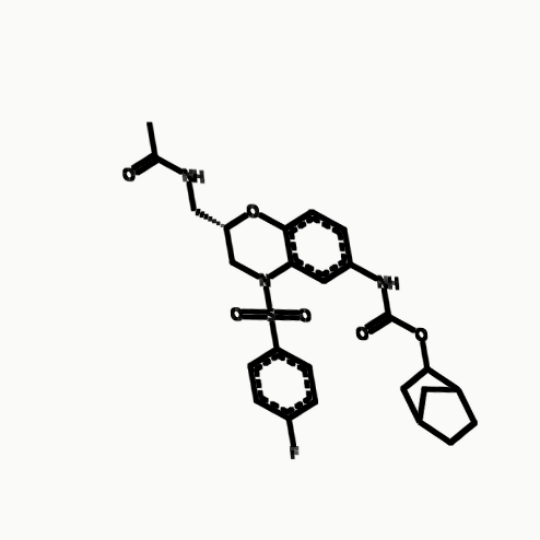 CC(=O)NC[C@H]1CN(S(=O)(=O)c2ccc(F)cc2)c2cc(NC(=O)OC3CC4CCC3C4)ccc2O1